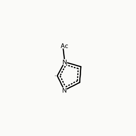 CC(=O)n1[c]ncc1